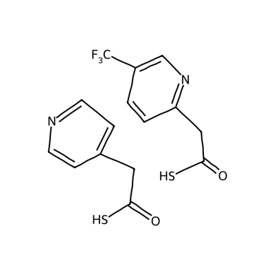 O=C(S)Cc1ccc(C(F)(F)F)cn1.O=C(S)Cc1ccncc1